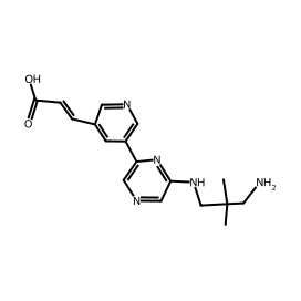 CC(C)(CN)CNc1cncc(-c2cncc(/C=C/C(=O)O)c2)n1